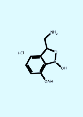 COc1cccc2c1B(O)OC2CN.Cl